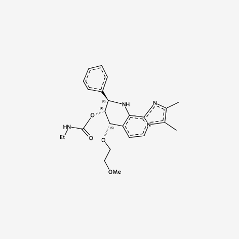 CCNC(=O)O[C@@H]1[C@@H](c2ccccc2)Nc2c(ccn3c(C)c(C)nc23)[C@@H]1OCCOC